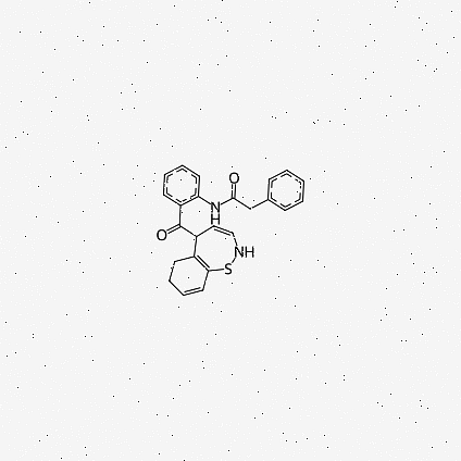 O=C(Cc1ccccc1)Nc1ccccc1C(=O)C1C=CNSC2=C1CCC=C2